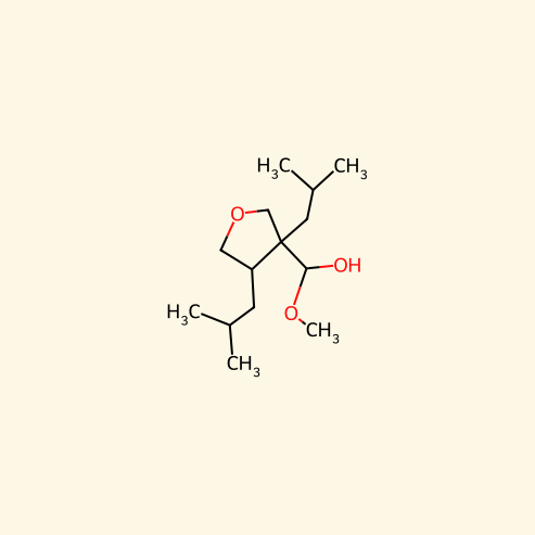 COC(O)C1(CC(C)C)COCC1CC(C)C